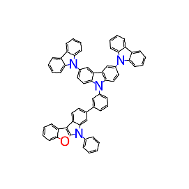 c1ccc(-n2c3cc(-c4cccc(-n5c6ccc(-n7c8ccccc8c8ccccc87)cc6c6cc(-n7c8ccccc8c8ccccc87)ccc65)c4)ccc3c3c4ccccc4oc32)cc1